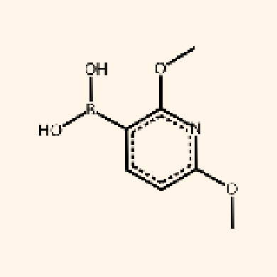 COc1ccc(B(O)O)c(OC)n1